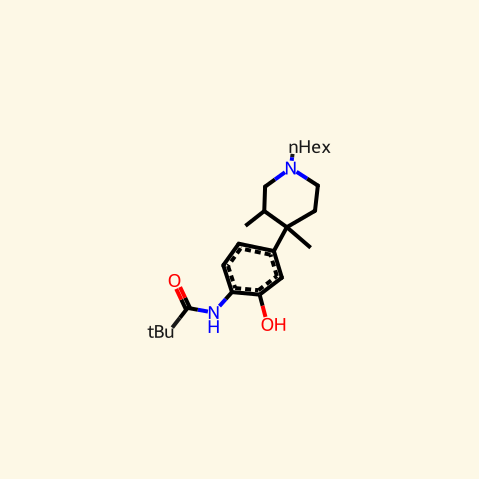 CCCCCCN1CCC(C)(c2ccc(NC(=O)C(C)(C)C)c(O)c2)C(C)C1